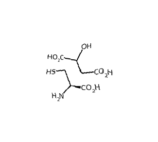 N[C@@H](CS)C(=O)O.O=C(O)CC(O)C(=O)O